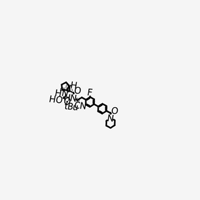 CC(C)(C)OC(O)N1[C@@H]2CC[C@@H](C2)[C@H]1C(=O)N[C@H](C#N)Cc1ccc(-c2ccc(C(=O)N3CCCCC3)cc2)cc1F